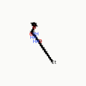 CCC=CCC=CCC=CCC=CCC=CCC=CCCC(=O)NCCCNCCNC(=O)C(C)(C)CCCOc1cc(C)ccc1C